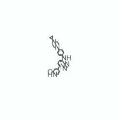 O=c1cc(-c2ccc(Nc3ccc(N4CCN(C5CC5)CC4)cc3)c3ncnn23)cc[nH]1